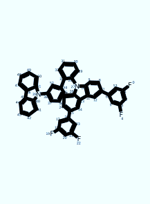 Fc1cc(F)cc(-c2ccc3c(c2)c2cc(-c4cc(F)cc(F)c4)ccc2n3-c2ccccc2-c2cccc(-n3c4ccccc4c4ccccc43)c2)c1